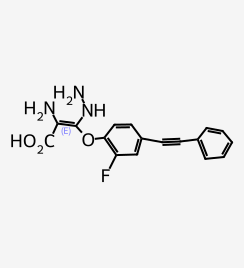 NN/C(Oc1ccc(C#Cc2ccccc2)cc1F)=C(\N)C(=O)O